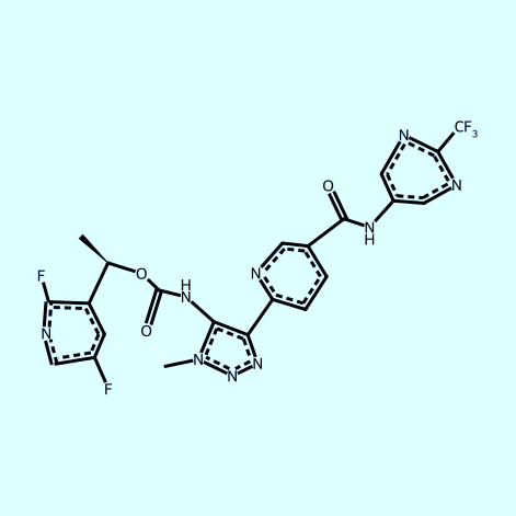 C[C@@H](OC(=O)Nc1c(-c2ccc(C(=O)Nc3cnc(C(F)(F)F)nc3)cn2)nnn1C)c1cc(F)cnc1F